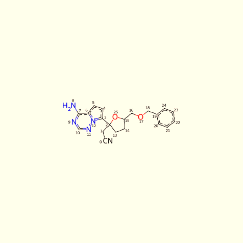 N#CCC1(c2ccc3c(N)ncnn23)CCC(COCc2ccccc2)O1